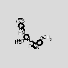 COc1ccc2ncc(F)c(CCN3CCC(NCc4cc5c(cn4)OCCS5)CC3)c2c1.Cl.Cl